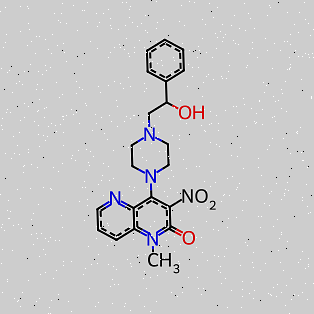 Cn1c(=O)c([N+](=O)[O-])c(N2CCN(CC(O)c3ccccc3)CC2)c2ncccc21